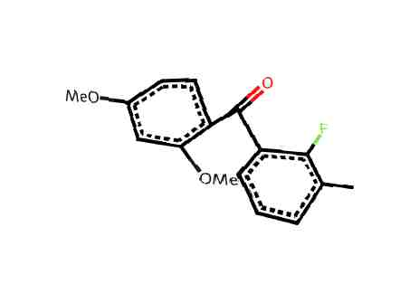 COc1ccc(C(=O)c2cccc(C)c2F)c(OC)c1